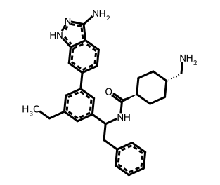 CCc1cc(-c2ccc3c(N)n[nH]c3c2)cc(C(Cc2ccccc2)NC(=O)[C@H]2CC[C@H](CN)CC2)c1